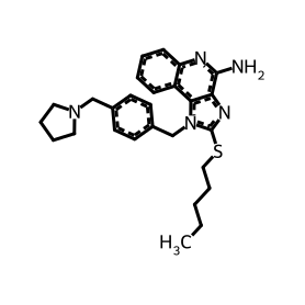 CCCCCSc1nc2c(N)nc3ccccc3c2n1Cc1ccc(CN2CCCC2)cc1